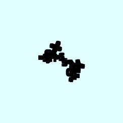 C[SiH](C)OC(CSSCC(O[SiH](C)C)C(C)(C)C)C(C)(C)C